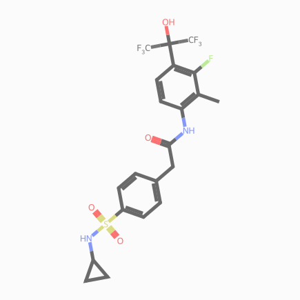 Cc1c(NC(=O)Cc2ccc(S(=O)(=O)NC3CC3)cc2)ccc(C(O)(C(F)(F)F)C(F)(F)F)c1F